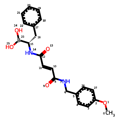 COc1ccc(CNC(=O)/C=C/C(=O)N[C@@H](Cc2ccccc2)B(O)O)cc1